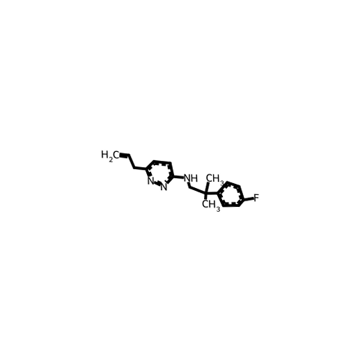 C=CCc1ccc(NCC(C)(C)c2ccc(F)cc2)nn1